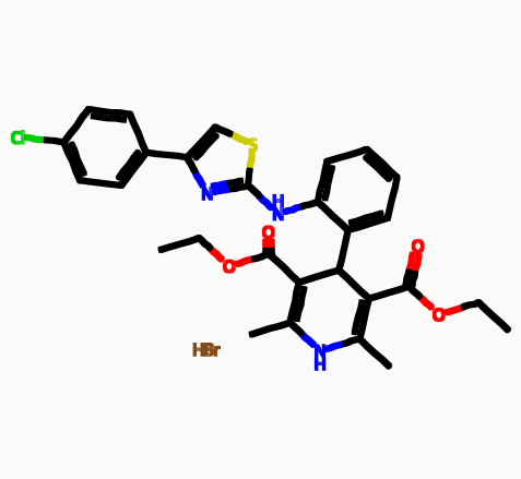 Br.CCOC(=O)C1=C(C)NC(C)=C(C(=O)OCC)C1c1ccccc1Nc1nc(-c2ccc(Cl)cc2)cs1